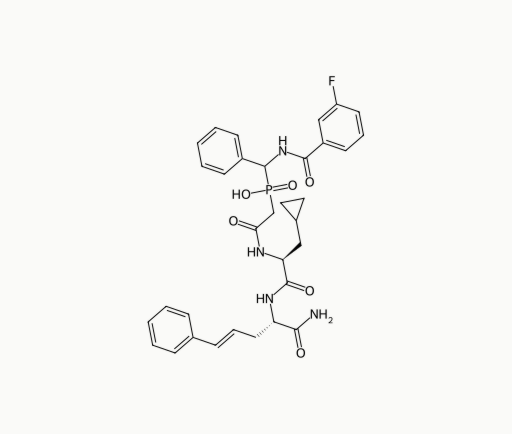 NC(=O)[C@H](C/C=C/c1ccccc1)NC(=O)[C@H](CC1CC1)NC(=O)CP(=O)(O)C(NC(=O)c1cccc(F)c1)c1ccccc1